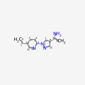 C=Cc1ccc(-n2cc(C(=C)N)cn2)nc1